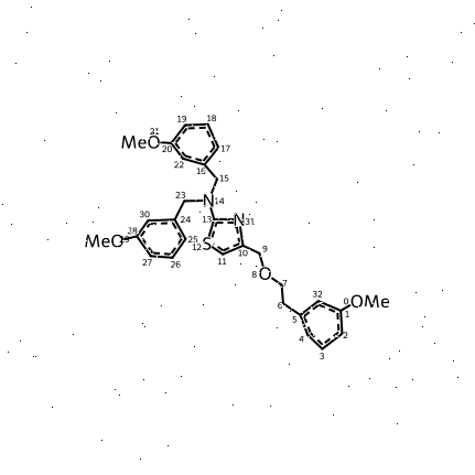 COc1cccc(CCOCc2csc(N(Cc3cccc(OC)c3)Cc3cccc(OC)c3)n2)c1